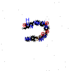 CCc1cc2ncc(CN3CCN(c4ccc(C(=O)N5CCC(OCCN(C)C(=O)c6nnc(SCc7ccc(-n8ccnc8)cc7C)s6)CC5)nc4)CC3)cc2[nH]c1=O